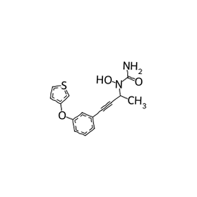 CC(C#Cc1cccc(Oc2ccsc2)c1)N(O)C(N)=O